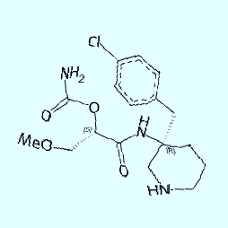 COC[C@H](OC(N)=O)C(=O)N[C@@]1(Cc2ccc(Cl)cc2)CCCNC1